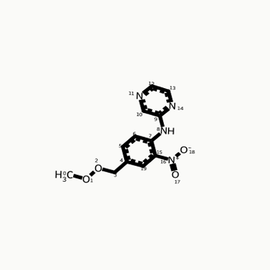 COOCc1ccc(Nc2cnccn2)c([N+](=O)[O-])c1